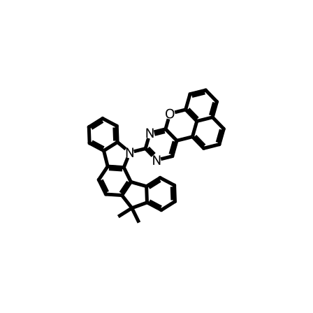 CC1(C)c2ccccc2-c2c1ccc1c3ccccc3n(-c3ncc4c(n3)Oc3cccc5cccc-4c35)c21